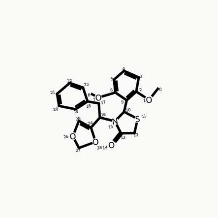 COc1cccc(OC)c1C1SCC(=O)N1C(Cc1ccccc1)C1=COCO1